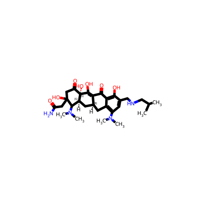 CC(C)CNCc1cc(N(C)C)c2c(c1O)C(=O)C1=C(O)[C@]3(O)C(=O)CC(O)(CC(N)=O)C(N(C)C)[C@@H]3C[C@@H]1C2